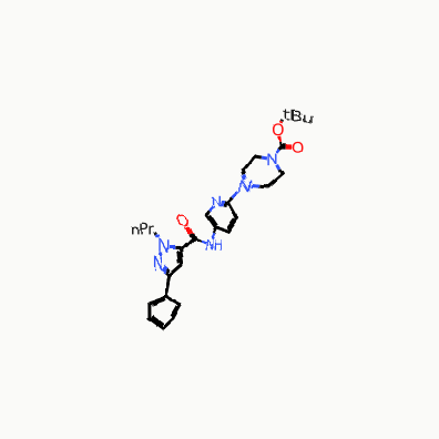 CCCn1nc(-c2ccccc2)cc1C(=O)Nc1ccc(N2CCN(C(=O)OC(C)(C)C)CC2)nc1